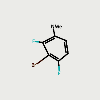 CNc1ccc(F)c(Br)c1F